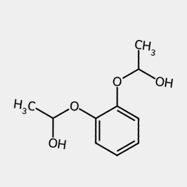 CC(O)Oc1ccccc1OC(C)O